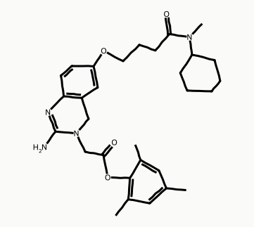 Cc1cc(C)c(OC(=O)CN2Cc3cc(OCCCC(=O)N(C)C4CCCCC4)ccc3N=C2N)c(C)c1